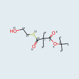 CC(C)(C)OC(=O)C(C)(C)C(=O)SCCO